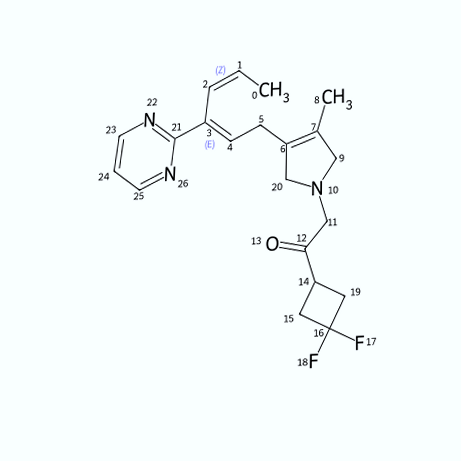 C/C=C\C(=C/CC1=C(C)CN(CC(=O)C2CC(F)(F)C2)C1)c1ncccn1